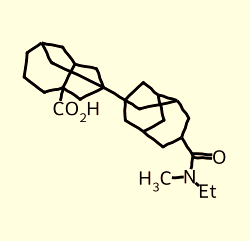 CCN(C)C(=O)C1CC2CC3CC(C45CC6CCCC(C(=O)O)(C4)C(C6)C5)(C2)CC3C1